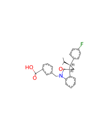 CC(C)[C@@]1(c2ccc(F)cc2)C[C@@]12C(=O)N(Cc1cccc(C(=O)O)c1)c1ccccc12